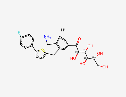 NCc1ccc(C(=O)[C@H](O)[C@@H](O)[C@H](O)[C@H](O)CO)cc1Cc1ccc(-c2ccc(F)cc2)s1.[H+]